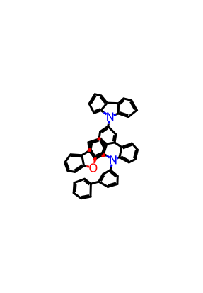 c1ccc(-c2cccc(N(c3ccccc3-c3cc(-n4c5ccccc5c5ccccc54)cc4ccccc34)c3cccc4c3oc3ccccc34)c2)cc1